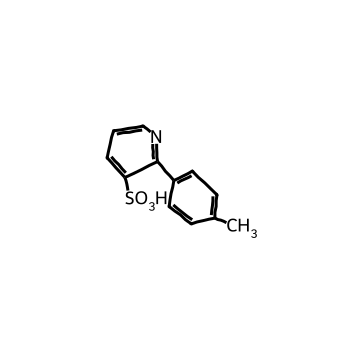 Cc1ccc(-c2ncccc2S(=O)(=O)O)cc1